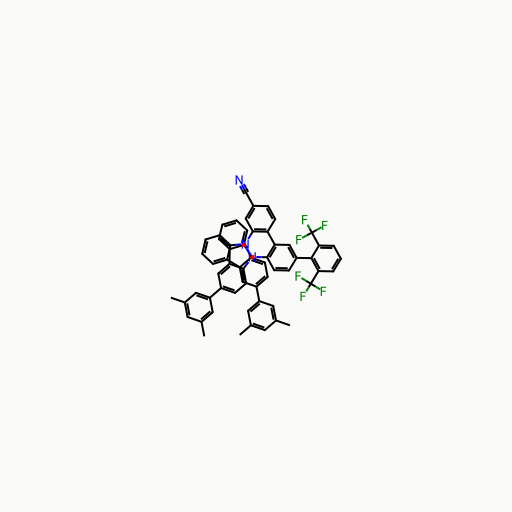 Cc1cc(C)cc(-c2ccc3c(c2)c2ccccc2n3-c2ccc(-c3c(C(F)(F)F)cccc3C(F)(F)F)cc2-c2ccc(C#N)cc2-n2c3ccccc3c3cc(-c4cc(C)cc(C)c4)ccc32)c1